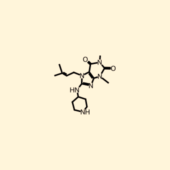 CC(C)=CCn1c(NC2CCNCC2)nc2c1c(=O)n(C)c(=O)n2C